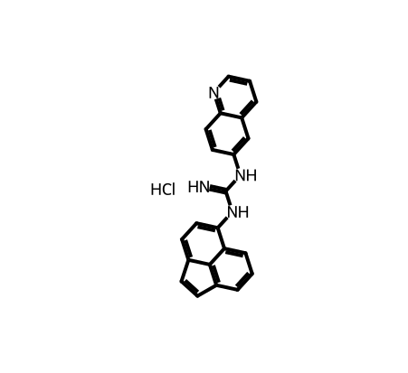 Cl.N=C(Nc1ccc2ncccc2c1)Nc1ccc2c3c(cccc13)C=C2